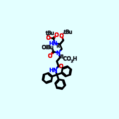 CC(C)COC(=O)N(C[C@H](COC(C)(C)C)NC(=O)OC(C)(C)C)[C@@H](CC(=O)NC(c1ccccc1)(c1ccccc1)c1ccccc1)C(=O)O